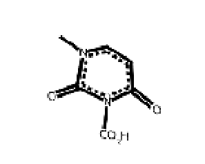 Cn1ccc(=O)n(C(=O)O)c1=O